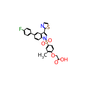 Cc1cc(S(=O)(=O)n2cc(-c3nccs3)c3cc(-c4ccc(F)cc4)ccc32)ccc1OCC(=O)O